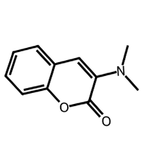 CN(C)c1cc2ccccc2oc1=O